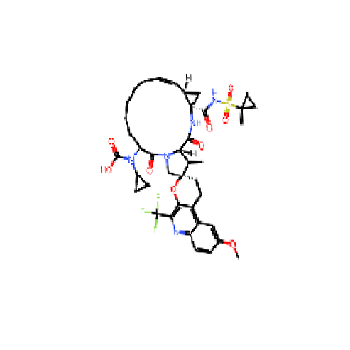 COc1ccc2nc(C(F)(F)F)c3c(c2c1)CC[C@@]1(CN2C(=O)[C@@H](N(C(=O)O)C4CC4)CCCCC/C=C\[C@@H]4C[C@@]4(C(=O)NS(=O)(=O)C4(C)CC4)NC(=O)[C@@H]2C1C)O3